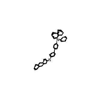 CN(c1ccc(-c2ccc(N(c3ccccc3)c3cccc4ccccc34)cc2)cc1)c1ccc2cc3ccccc3cc2c1